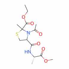 CCOC(=O)C1(C)SCC(C(=O)N[C@@H](C)C(=O)OC)N1C(C)=O